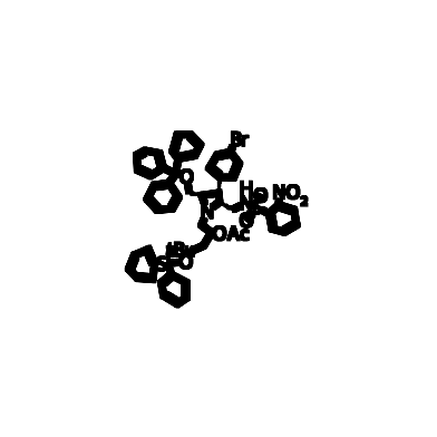 CC(=O)O[C@@H](CCO[Si](c1ccccc1)(c1ccccc1)C(C)(C)C)CN1[C@H](COC(c2ccccc2)(c2ccccc2)c2ccccc2)[C@H](c2ccc(Br)cc2)[C@@H]1CNS(=O)(=O)c1ccccc1[N+](=O)[O-]